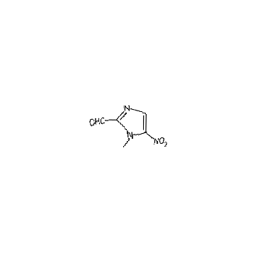 Cn1c([N+](=O)[O-])cnc1C=O